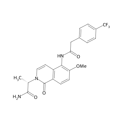 COc1ccc2c(=O)n([C@@H](C)C(N)=O)ccc2c1NC(=O)Cc1ccc(C(F)(F)F)cc1